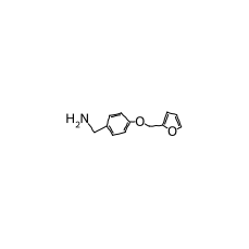 NCc1ccc(OCc2ccco2)cc1